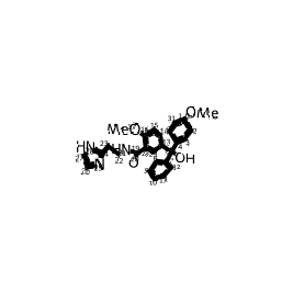 COc1ccc(C(O)(c2ccccc2)c2ccc(OC)c(C(=O)NCCc3ncc[nH]3)c2)cc1